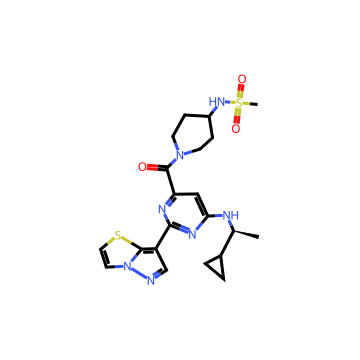 C[C@H](Nc1cc(C(=O)N2CCC(NS(C)(=O)=O)CC2)nc(-c2cnn3ccsc23)n1)C1CC1